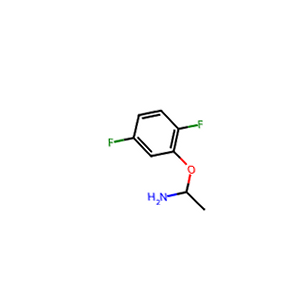 CC(N)Oc1cc(F)ccc1F